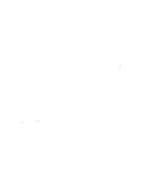 CCCC=CCCCCCC=CCCCCC